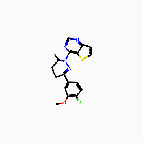 COc1cc(C2=NN(c3ncnc4ccsc34)C(C)CC2)ccc1Cl